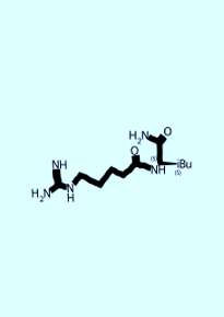 CC[C@H](C)[C@H](NC(=O)CCCCNC(=N)N)C(N)=O